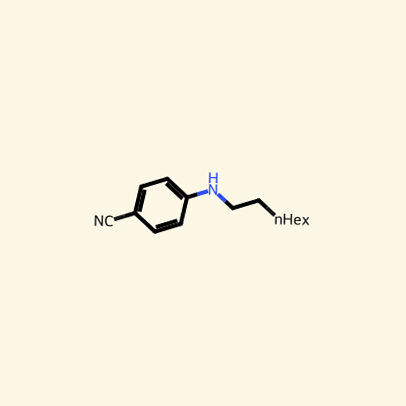 CCCCCCCCNc1ccc(C#N)cc1